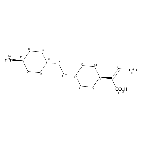 CCCCC=C(C(=O)O)[C@H]1CC[C@H](CC[C@H]2CC[C@H](CCC)CC2)CC1